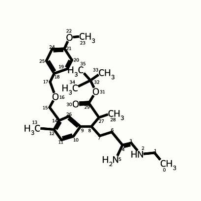 CCN/C=C(\N)CCC(c1ccc(C)c(COCc2ccc(OC)cc2)c1)C(C)C(=O)OC(C)(C)C